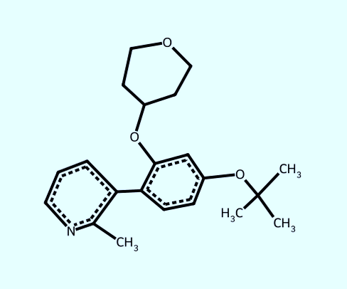 Cc1ncccc1-c1ccc(OC(C)(C)C)cc1OC1CCOCC1